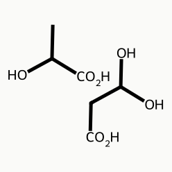 CC(O)C(=O)O.O=C(O)CC(O)O